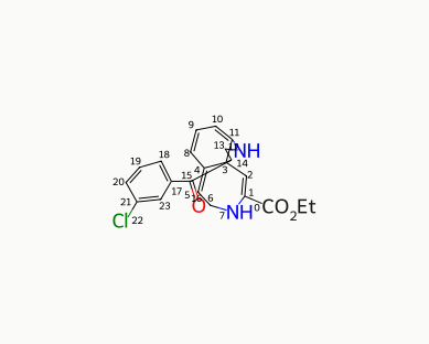 CCOC(=O)C1=CC23C(=CCN1)C=CC=C2NCC3C(=O)c1cccc(Cl)c1